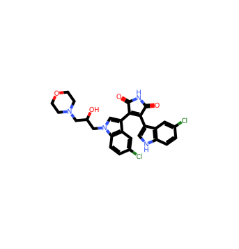 O=C1NC(=O)C(c2cn(CC(O)CN3CCOCC3)c3ccc(Cl)cc23)=C1c1c[nH]c2ccc(Cl)cc12